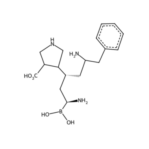 NC(Cc1ccccc1)C[C@H](C[C@@H](N)B(O)O)C1CNCC1C(=O)O